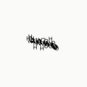 CN/C=C(\C=N)Nc1ncc(Cl)c(NC2COC3C(NS(=O)(=O)N4CCOCC4)COC23)n1